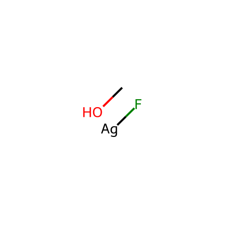 CO.[F][Ag]